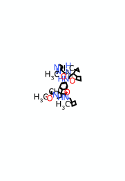 C=C(OC)N1CCC(C(=O)NCC2(C)CCC2)(c2ccc(NC(=O)[C@@H](NC(=O)c3ccnn3C)C(C3CCC3)C3(C)CC3)cc2)C1